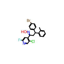 Cc1ccccc1C(CC(=NO)c1cc(F)ncc1Cl)c1ccc(Br)cc1